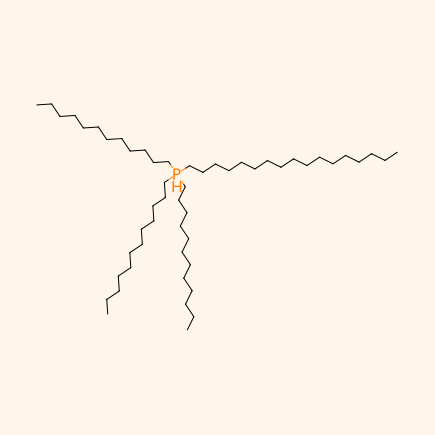 CCCCCCCCCCCCCCCCC[PH](CCCCCCCCCCCC)(CCCCCCCCCCCC)CCCCCCCCCCCC